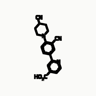 N#Cc1cc(-c2cc(C(=O)O)ccn2)ccc1N1CCC(C#N)CC1